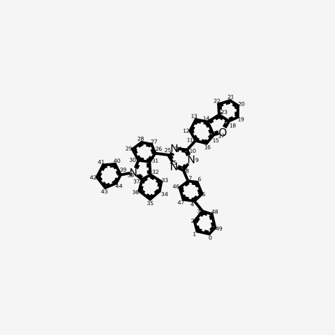 c1ccc(-c2ccc(-c3nc(-c4ccc5c(c4)oc4ccccc45)nc(-c4cccc5c4c4ccccc4n5-c4ccccc4)n3)cc2)cc1